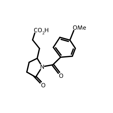 COc1ccc(C(=O)N2C(=O)CCC2CCC(=O)O)cc1